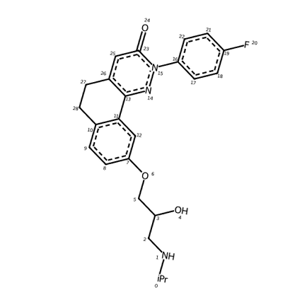 CC(C)NCC(O)COc1ccc2c(c1)-c1nn(-c3ccc(F)cc3)c(=O)cc1CC2